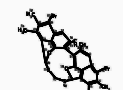 Cc1cc2c(C(C)C)c(C)c(C)c3c2c2c1-c1c(C)cc4c(C(C)C)c(C)c(C)c5c4c1OC5SCSC3O2